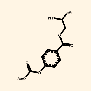 CCCC(CCC)COC(=O)c1ccc(OC(=O)OC)cc1